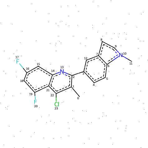 Cc1c(-c2ccc3c(ccn3C)c2)nc2cc(F)cc(F)c2c1Cl